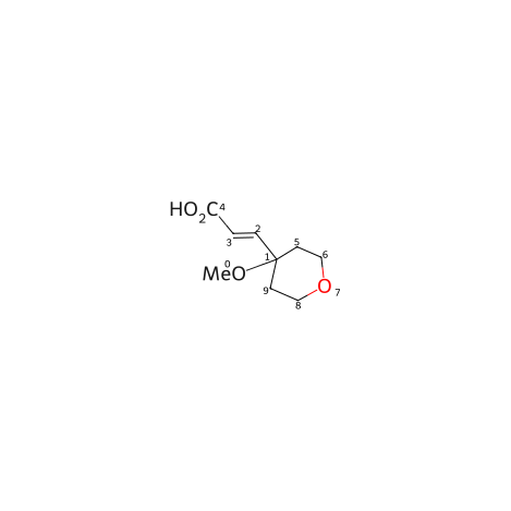 COC1(/C=C/C(=O)O)CCOCC1